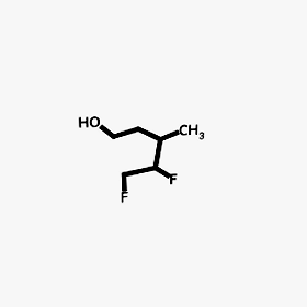 CC(CCO)C(F)CF